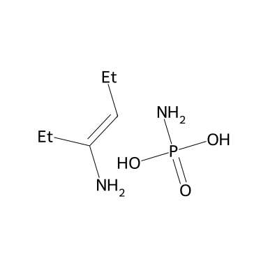 CC/C=C(/N)CC.NP(=O)(O)O